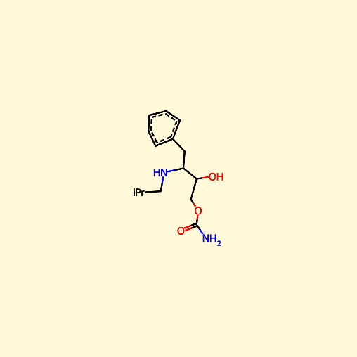 CC(C)CNC(Cc1ccccc1)C(O)COC(N)=O